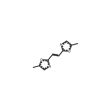 Cc1cnc(C=Cc2ncc(C)o2)o1